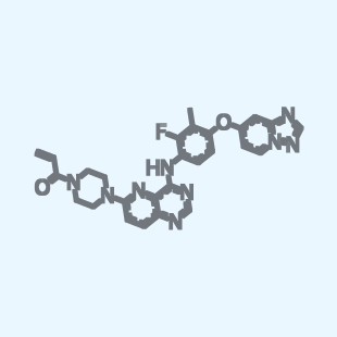 C=CC(=O)N1CCN(c2ccc3ncnc(Nc4ccc(Oc5ccn6ncnc6c5)c(C)c4F)c3n2)CC1